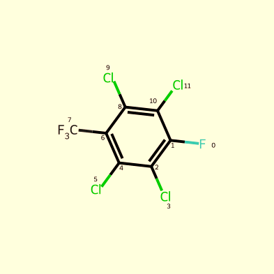 Fc1c(Cl)c(Cl)c(C(F)(F)F)c(Cl)c1Cl